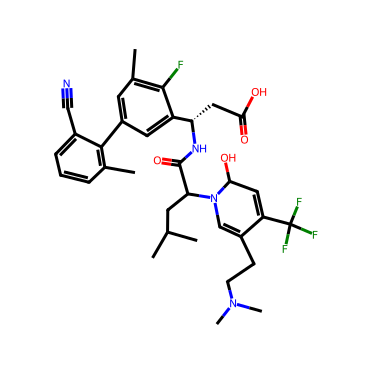 Cc1cc(-c2c(C)cccc2C#N)cc([C@H](CC(=O)O)NC(=O)C(CC(C)C)N2C=C(CCN(C)C)C(C(F)(F)F)=CC2O)c1F